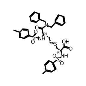 Cc1ccc(S(=O)(=O)N[C@@H](CSSC[C@H](NS(=O)(=O)c2ccc(C)cc2)C(=O)N(Cc2ccccc2)Cc2ccccc2)C(=O)O)cc1